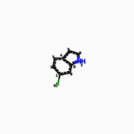 Fc1[c]cc2cc[nH]c2c1